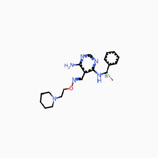 C[C@H](Nc1ncnc(N)c1C=NOCCN1CCCCC1)c1ccccc1